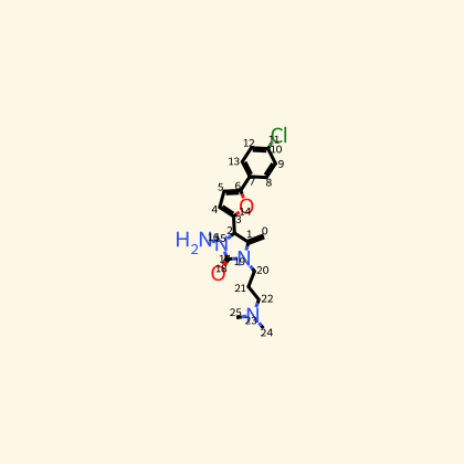 C=C1C(c2ccc(-c3ccc(Cl)cc3)o2)N(N)C(=O)N1CCCN(C)C